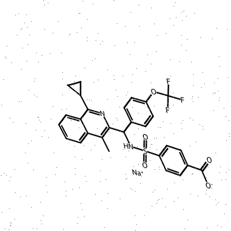 Cc1c(C(NS(=O)(=O)c2ccc(C(=O)[O-])cc2)c2ccc(OC(F)(F)F)cc2)nc(C2CC2)c2ccccc12.[Na+]